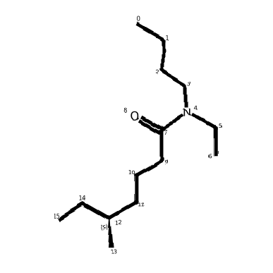 CCCCN(CC)C(=O)CCC[C@@H](C)CC